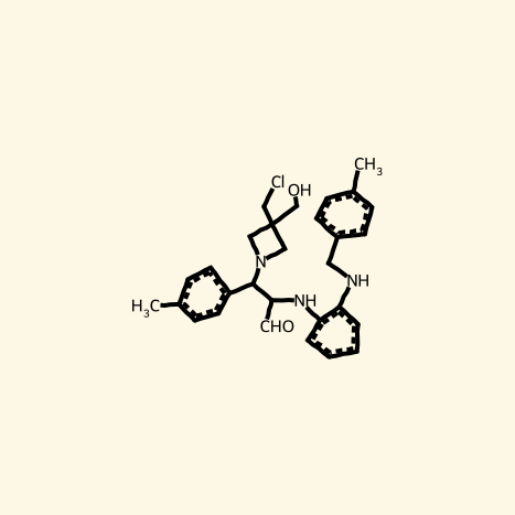 Cc1ccc(CNc2ccccc2NC(C=O)C(c2ccc(C)cc2)N2CC(CO)(CCl)C2)cc1